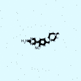 CN1CCCN(Cc2ccc(-c3cnc(N)nc3)c(C#N)c2)CC1